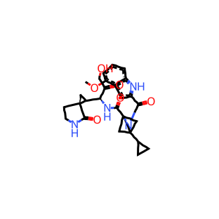 COc1cccc2[nH]c(C(=O)N3CC4(C5CC5)CC3(C(=O)N[C@H](C(=O)CO)C3C[C@@]35CCNC5=O)C4)cc12